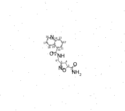 NC(=O)C1CC(CNC(=O)c2cccc3ncccc23)=NO1